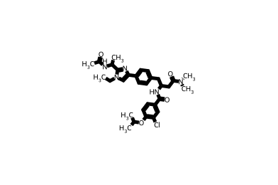 CCn1cc(-c2ccc(CC(CC(=O)N(C)C)NC(=O)c3ccc(OC(C)C)c(Cl)c3)cc2)nc1C(C)NC(C)=O